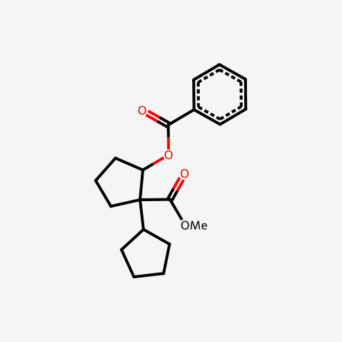 COC(=O)C1(C2CCCC2)CCCC1OC(=O)c1ccccc1